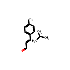 CC(C)C.Cc1ccc(/C=C/C=O)cc1